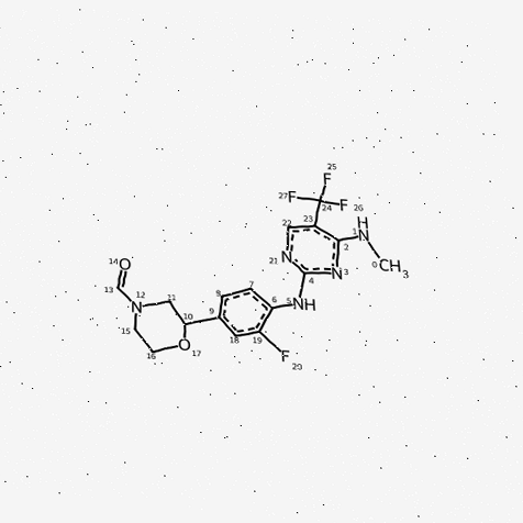 CNc1nc(Nc2ccc(C3CN(C=O)CCO3)cc2F)ncc1C(F)(F)F